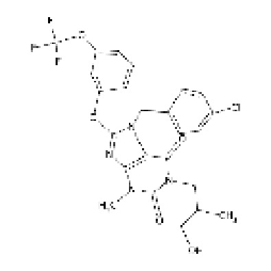 CC(CO)Cn1c(=O)c2c(nc(Oc3cccc(OC(F)(F)F)c3)n2Cc2ccc(Cl)cc2)n(C)c1=O